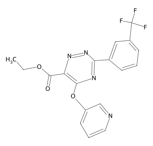 CCOC(=O)c1nnc(-c2cccc(C(F)(F)F)c2)nc1Oc1cccnc1